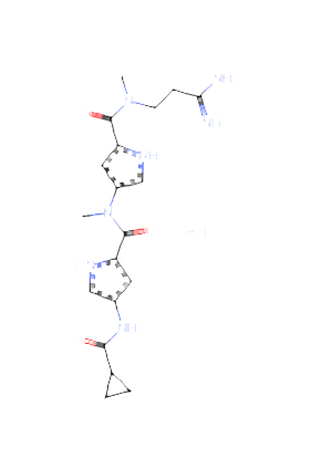 CN(CCC(=N)N)C(=O)c1cc(N(C)C(=O)c2cc(NC(=O)C3CC3)c[nH]2)c[nH]1.Cl